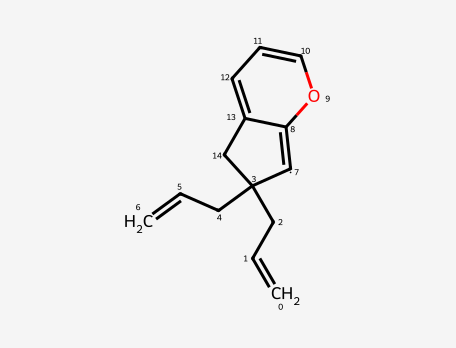 C=CCC1(CC=C)[C]=C2OC=CC=C2C1